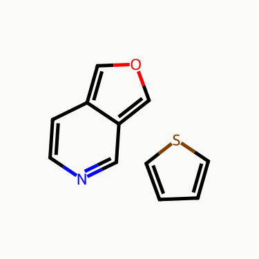 c1cc2cocc2cn1.c1ccsc1